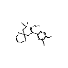 Cc1cc(C2=C(C=O)C(C)(C)CC3(C2)SCCCS3)ccc1F